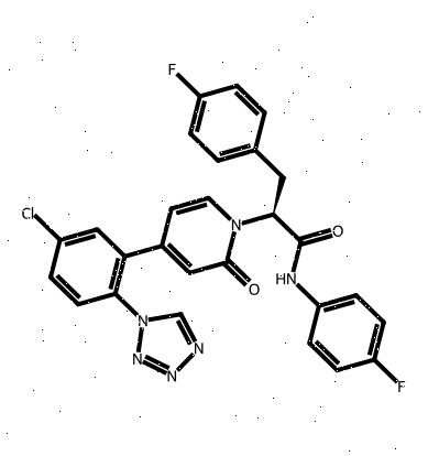 O=C(Nc1ccc(F)cc1)[C@H](Cc1ccc(F)cc1)n1ccc(-c2cc(Cl)ccc2-n2cnnn2)cc1=O